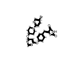 O=C1NC(=O)C(=Cc2ccc(Oc3cc(OC4CCN(c5ccc(Br)cn5)CC4)ncn3)cc2)S1